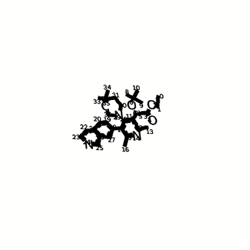 CCOC(=O)[C@@H](OC(C)(C)C)c1c(C)nc(C)c(-c2ccc3ccncc3c2)c1N1CCC(C)(C)CC1